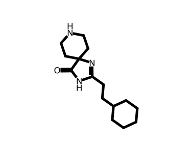 O=C1NC(CCC2CCCCC2)=NC12CCNCC2